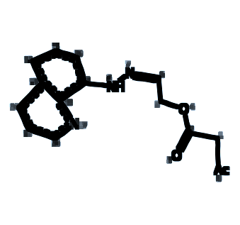 CC(=O)CC(=O)OC/C=N\Nc1cccc2cccnc12